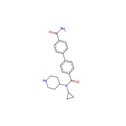 NC(=O)c1ccc(-c2ccc(C(=O)N(C3CCNCC3)C3CC3)cc2)cc1